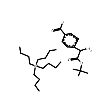 CC(C)(C)OC(=O)C(N)c1ccc(C(=O)[O-])cc1.CCCC[N+](CCCC)(CCCC)CCCC